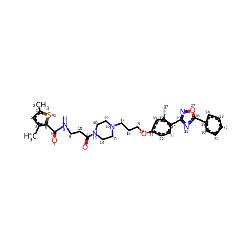 Cc1cc(C)c(C(=O)NCCC(=O)N2CCN(CCCOc3ccc(-c4noc(-c5ccccc5)n4)c(F)c3)CC2)s1